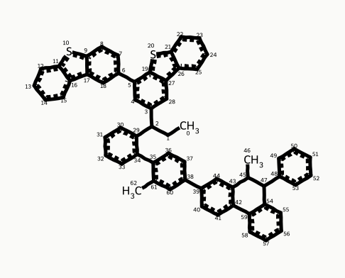 CCC(c1cc(-c2ccc3sc4ccccc4c3c2)c2sc3ccccc3c2c1)c1ccccc1-c1ccc(-c2ccc3c(c2)C(C)C(c2ccccc2)c2ccccc2-3)cc1C